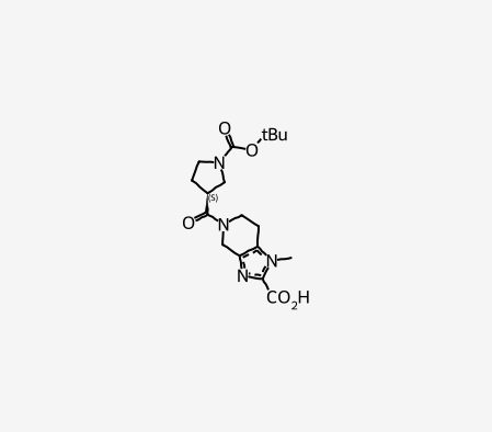 Cn1c(C(=O)O)nc2c1CCN(C(=O)[C@H]1CCN(C(=O)OC(C)(C)C)C1)C2